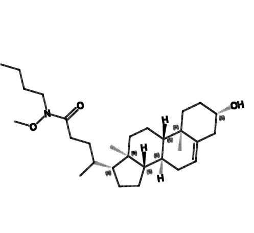 CCCCN(OC)C(=O)CCC(C)[C@H]1CC[C@H]2[C@@H]3CC=C4C[C@@H](O)CC[C@]4(C)[C@H]3CC[C@]12C